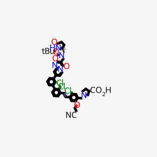 CC(C)(C)OC(=O)N(Cc1cnc2cc(-c3cccc(-c4cccc(/C=C/c5cc(OCCC#N)c(CN6CCC(C(=O)O)C6)cc5Cl)c4Cl)c3Cl)ccn2c1=O)C[C@@H]1CCC(=O)N1